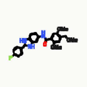 COCc1cc(OC)c(C(=O)Nc2ccc3c(c2)NC(c2ccc(F)cc2)N3)cc1OC